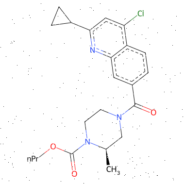 CCCOC(=O)N1CCN(C(=O)c2ccc3c(Cl)cc(C4CC4)nc3c2)C[C@H]1C